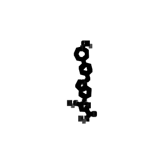 Cc1cc(C(N)=O)nn1-c1ccc2c(ccn2Cc2ccc(C3CCCN(C)CC3)cc2)c1